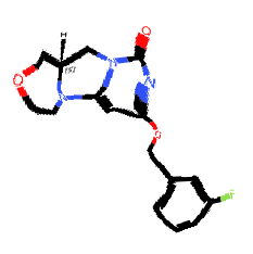 O=c1nc(OCc2cccc(F)c2)cc2n1C[C@H]1COCCN21